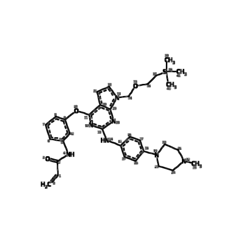 C=CC(=O)Nc1cccc(Oc2nc(Nc3ccc(N4CCN(C)CC4)cc3)nc3c2ccn3COCC[Si](C)(C)C)c1